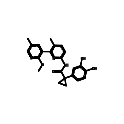 COc1ncc(C)cc1-c1nc(NC(=O)C2(c3ccc(O)c(O)c3)CC2)ccc1C